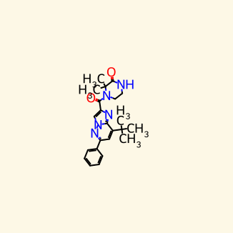 CC(C)(C)c1cc(-c2ccccc2)nn2cc(C(=O)N3CCNC(=O)C3(C)C)nc12